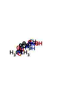 CON1c2cc(-c3cccc(-c4cccc(NC(=O)c5cn(C)c(=O)n(C)c5=O)c4C)c3C)cnc2C=CC1CNCCO